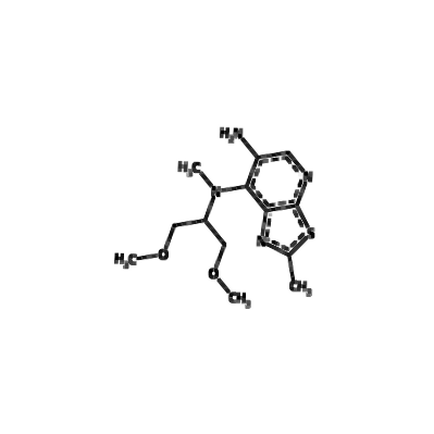 COCC(COC)N(C)c1c(N)cnc2sc(C)nc12